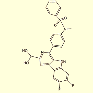 CN(c1ccc(-c2nc(C(O)O)cc3c2[nH]c2cc(F)c(F)cc23)cc1)S(=O)(=O)c1ccccc1